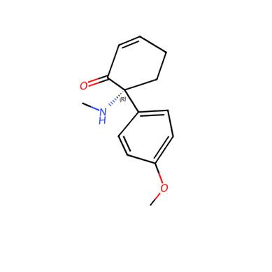 CN[C@@]1(c2ccc(OC)cc2)CCC=CC1=O